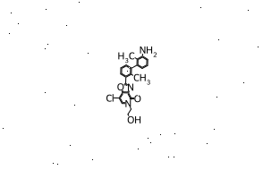 Cc1c(N)cccc1-c1cccc(-c2nc3c(=O)n(CCO)cc(Cl)c3o2)c1C